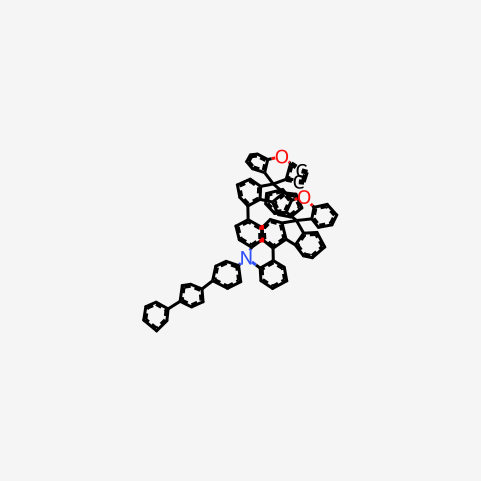 c1ccc(-c2ccc(-c3ccc(N(c4ccc(-c5cccc6c5-c5ccccc5C65c6ccccc6Oc6ccccc65)cc4)c4ccccc4-c4cccc5c4-c4ccccc4C54c5ccccc5Oc5ccccc54)cc3)cc2)cc1